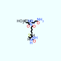 NC(=O)CC[C@@H](C(=O)O)N(C(=O)CCCC[C@@H]1SC[C@@H]2NC(=O)N[C@@H]21)C(=O)[C@@H](N)CC(=O)O